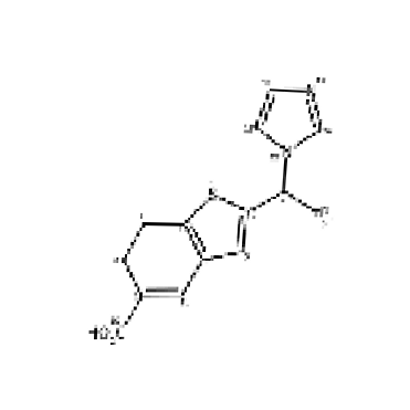 CC(C)(C)C(c1cc2c(s1)CCC(C(=O)O)=C2)n1ccnc1